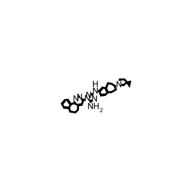 Nc1nc(Nc2ccc3c(c2)CC[C@H](N2CCC4(CC4)C2)CC3)nn1-c1cc2c(nn1)-c1ccccc1CCC2